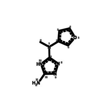 CN(c1ccoc1)c1nnc(N)[nH]1